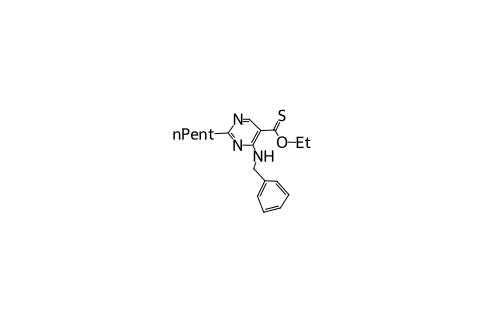 CCCCCc1ncc(C(=S)OCC)c(NCc2ccccc2)n1